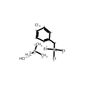 CC[N+](CC)(CC)Cc1ccccc1.CN(C)C.Cl.[Cl-]